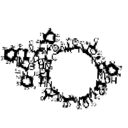 CC(C)C[C@H]1C(=O)N[C@@H](C(C)C)C(=O)N[C@H](C(=O)N(C)[C@@H](Cc2ccccc2)C(=O)N(C)[C@@H](Cc2ccccc2)C(=O)N[C@@H](C)C(=O)N2CCCCC2)CC(=O)N(C)[C@@H](C)C(=O)N(C)[C@@H](CC(C)C)C(=O)N(C)[C@@H](Cc2ccccc2)C(=O)N[C@@H]([C@@H](C)O)C(=O)N(C)[C@@H](C)C(=O)N(C)CC(=O)N1C